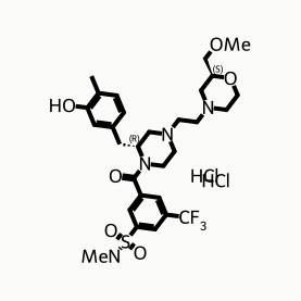 CNS(=O)(=O)c1cc(C(=O)N2CCN(CCN3CCO[C@H](COC)C3)C[C@H]2Cc2ccc(C)c(O)c2)cc(C(F)(F)F)c1.Cl.Cl